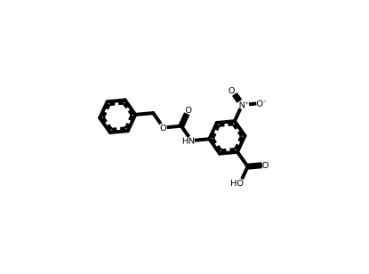 O=C(Nc1cc(C(=O)O)cc([N+](=O)[O-])c1)OCc1ccccc1